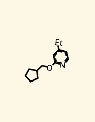 CCc1ccnc(OCC2CCCC2)c1